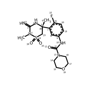 CN1C(=N)N[C@](C)(c2cc(NC(=O)N3CCOCC3)ccc2F)CS1(=O)=O